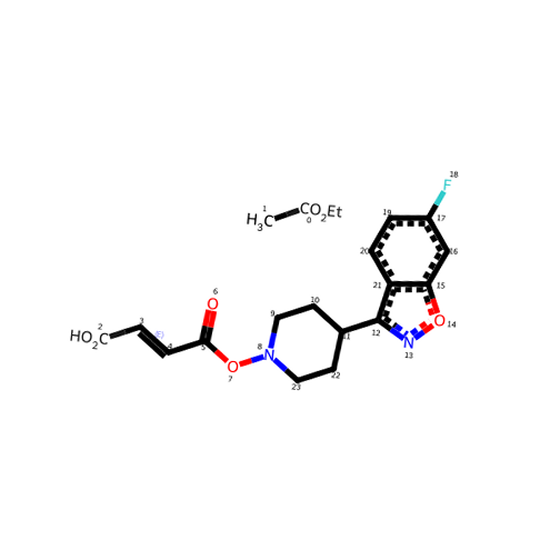 CCOC(C)=O.O=C(O)/C=C/C(=O)ON1CCC(c2noc3cc(F)ccc23)CC1